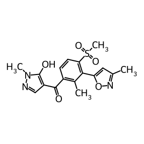 Cc1cc(-c2c(S(C)(=O)=O)ccc(C(=O)c3cnn(C)c3O)c2C)on1